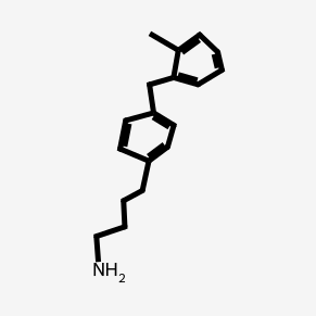 Cc1ccccc1Cc1ccc(CCCCN)cc1